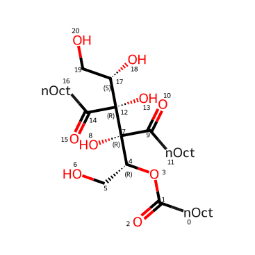 CCCCCCCCC(=O)O[C@H](CO)[C@](O)(C(=O)CCCCCCCC)[C@@](O)(C(=O)CCCCCCCC)[C@@H](O)CO